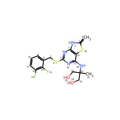 C=C1Nc2nc(SCc3cccc(F)c3F)nc(NC(C)(CO)CO)c2S1